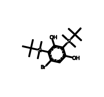 CC(C)(C)[Si](C)(C)c1c(O)cc(Br)c([Si](C)(C)C(C)(C)C)c1O